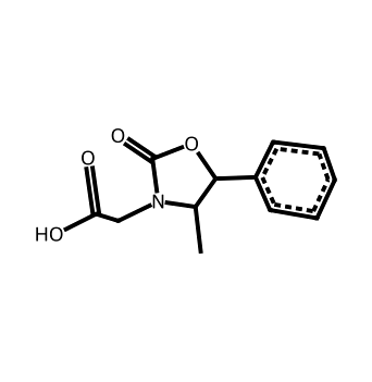 CC1C(c2ccccc2)OC(=O)N1CC(=O)O